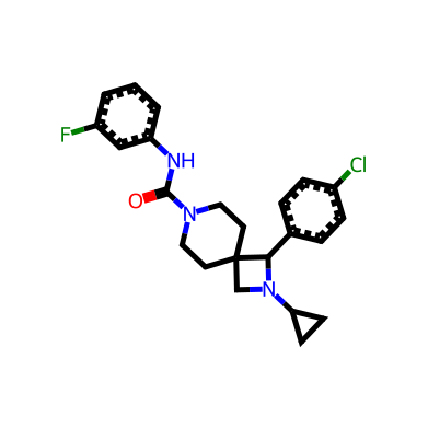 O=C(Nc1cccc(F)c1)N1CCC2(CC1)CN(C1CC1)C2c1ccc(Cl)cc1